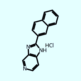 Cl.c1ccc2cc(-c3nc4cnccc4[nH]3)ccc2c1